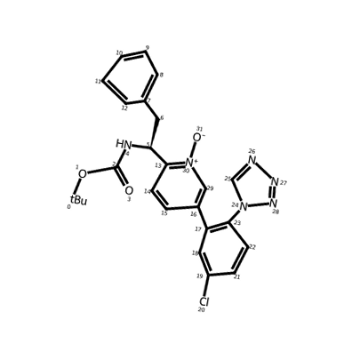 CC(C)(C)OC(=O)N[C@@H](Cc1ccccc1)c1ccc(-c2cc(Cl)ccc2-n2cnnn2)c[n+]1[O-]